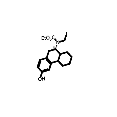 CCOC(=O)N(CI)[C@H]1Cc2ccc(O)cc2C2CCCCC21